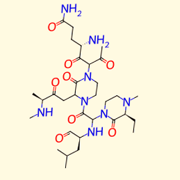 CC[C@H]1C(=O)N(C(N[C@H](C=O)CC(C)C)C(=O)N2CCN(C(C(C)=O)C(=O)[C@@H](N)CCC(N)=O)C(=O)C2CC(=O)[C@H](C)NC)CCN1C